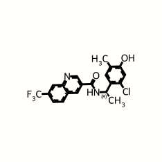 Cc1cc([C@@H](C)NC(=O)c2cnc3cc(C(F)(F)F)ccc3c2)c(Cl)cc1O